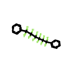 FC(F)(c1ccccc1)C(F)(F)C(F)(F)C(F)(F)C(F)(F)C(F)(F)c1ccccc1